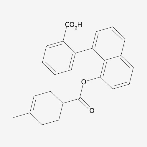 CC1=CCC(C(=O)Oc2cccc3cccc(-c4ccccc4C(=O)O)c23)CC1